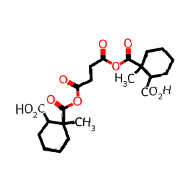 CC1(C(=O)OC(=O)CCC(=O)OC(=O)C2(C)CCCCC2C(=O)O)CCCCC1C(=O)O